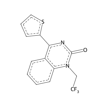 O=c1nc(-c2cccs2)c2ccccc2n1CC(F)(F)F